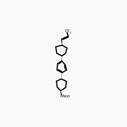 CCCCCCCCC[C@H]1CC[C@H](c2ccc([C@H]3CC[C@H](C=CC(F)(F)F)CC3)cc2)CC1